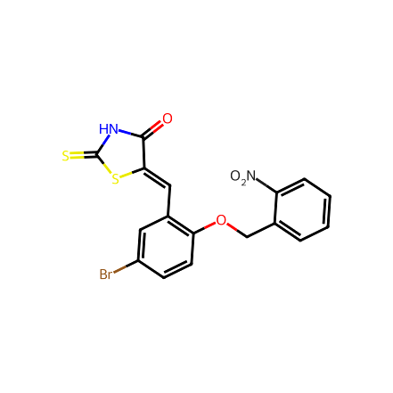 O=C1NC(=S)S/C1=C\c1cc(Br)ccc1OCc1ccccc1[N+](=O)[O-]